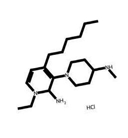 CCCCCCC1=C(N2CCC(NC)CC2)C(N)N(CC)C=C1.Cl